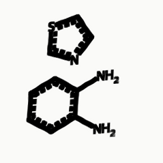 Nc1ccccc1N.c1cscn1